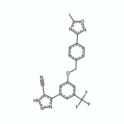 Cc1nc(-c2ccc(COc3cc(-c4nn[nH]c4C#N)cc(C(F)(F)F)c3)cc2)no1